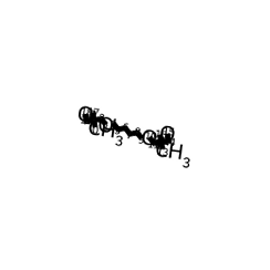 CC1(COCCCCCCOCC2(C)COC2)COC1